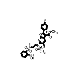 CNC(=O)c1c(-c2ccc(F)cc2)oc2nc(N(CCNS(=O)(=O)c3ccccc3NO)S(C)(=O)=O)c(I)cc12